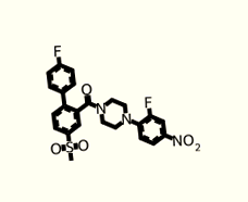 CS(=O)(=O)c1ccc(-c2ccc(F)cc2)c(C(=O)N2CCN(c3ccc([N+](=O)[O-])cc3F)CC2)c1